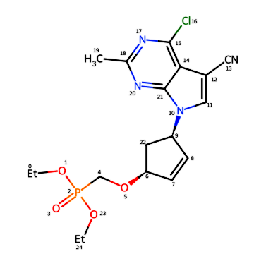 CCOP(=O)(CO[C@@H]1C=C[C@H](n2cc(C#N)c3c(Cl)nc(C)nc32)C1)OCC